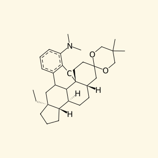 CC[C@@]12CCC[C@H]1[C@@H]1CC[C@H]3CC4(CC[C@@]35Cc3c(cccc3N(C)C)C(C2)C15)OCC(C)(C)CO4